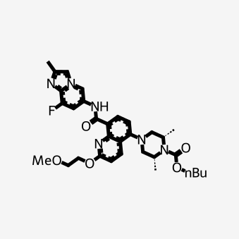 CCCCOC(=O)N1[C@H](C)CN(c2ccc(C(=O)Nc3cc(F)c4nc(C)cn4c3)c3nc(OCCOC)ccc23)C[C@@H]1C